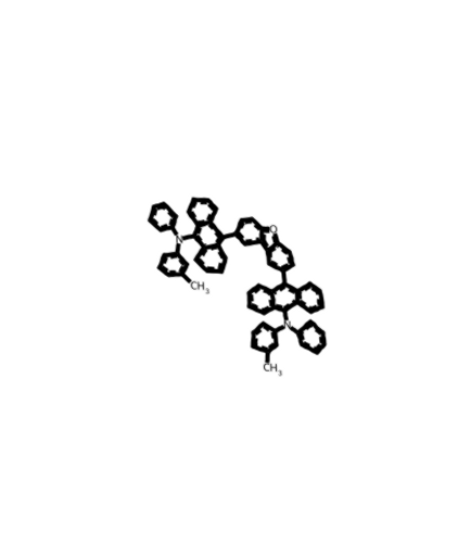 Cc1cccc(N(c2ccccc2)c2c3ccccc3c(-c3ccc4oc5ccc(-c6c7ccccc7c(N(c7ccccc7)c7cccc(C)c7)c7ccccc67)cc5c4c3)c3ccccc23)c1